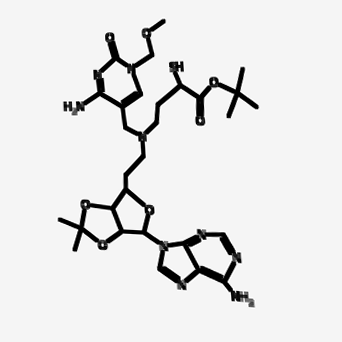 COCn1cc(CN(CCC(S)C(=O)OC(C)(C)C)CCC2OC(n3cnc4c(N)ncnc43)C3OC(C)(C)OC23)c(N)nc1=O